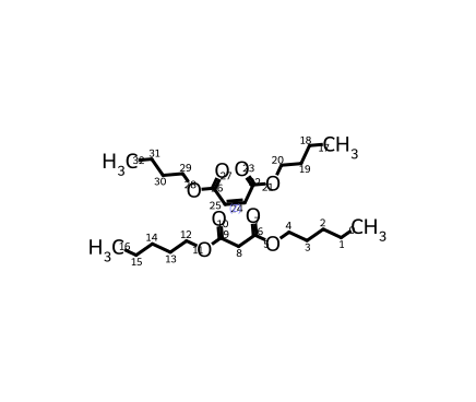 CCCCCOC(=O)CC(=O)OCCCCC.CCCCOC(=O)/C=C\C(=O)OCCCC